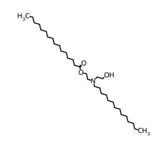 CCCCCCCCCCCCCCCC(=O)OCCN(CCO)CCCCCCCCCCCCCC